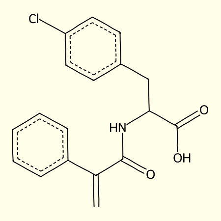 C=C(C(=O)NC(Cc1ccc(Cl)cc1)C(=O)O)c1ccccc1